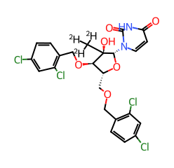 [2H]C([2H])([2H])[C@@]1(O)[C@H](OCc2ccc(Cl)cc2Cl)[C@@H](COCc2ccc(Cl)cc2Cl)O[C@H]1n1ccc(=O)[nH]c1=O